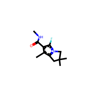 CNC(=O)c1c(C)c2n(c1F)CC(C)(C)C2